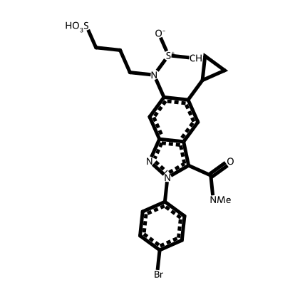 CNC(=O)c1c2cc(C3CC3)c(N(CCCS(=O)(=O)O)[S+](C)[O-])cc2nn1-c1ccc(Br)cc1